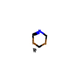 C1=NCSCS1.[H+]